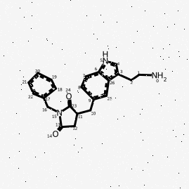 NCCc1c[nH]c2ccc(CC3CC(=O)N(Cc4ccccc4)C3=O)cc12